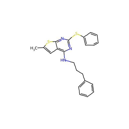 Cc1cc2c(NCCCc3ccccc3)nc(Sc3ccccc3)nc2s1